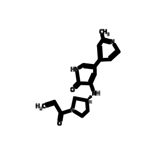 C=CC(=O)N1CC[C@@H](Nc2cc(-c3ccnc(C)c3)c[nH]c2=O)C1